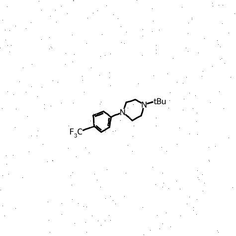 CC(C)(C)N1CCN(c2ccc(C(F)(F)F)cc2)CC1